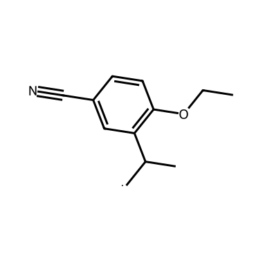 [CH2]C(C)c1cc(C#N)ccc1OCC